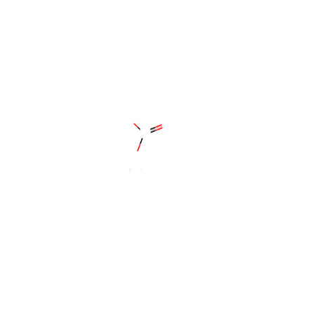 O=[Te]([O-])[O-].[Ag+2]